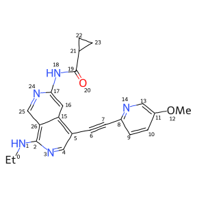 CCNc1ncc(C#Cc2ccc(OC)cn2)c2cc(NC(=O)C3CC3)ncc12